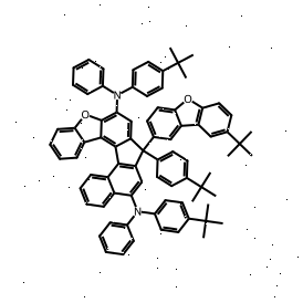 CC(C)(C)c1ccc(N(c2ccccc2)c2cc3c(c4ccccc24)-c2c(cc(N(c4ccccc4)c4ccc(C(C)(C)C)cc4)c4oc5ccccc5c24)C3(c2ccc(C(C)(C)C)cc2)c2ccc3oc4ccc(C(C)(C)C)cc4c3c2)cc1